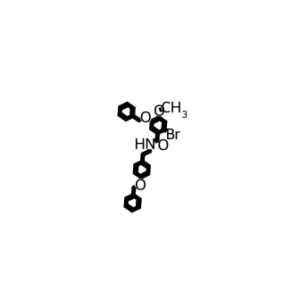 COc1cc(Br)c(C(=O)NCCc2ccc(OCc3ccccc3)cc2)cc1OCc1ccccc1